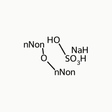 CCCCCCCCCOCCCCCCCCC.O=S(=O)(O)O.[NaH]